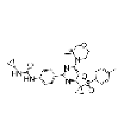 Cc1ccc(S(=O)(=O)C2(c3cc(N4CCOC[C@@H]4C)nc(-c4ccc(NC(=O)NC5CC5)cc4)n3)CC2)cc1